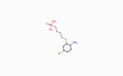 Nc1ccc(Br)cc1SCCCCP(=O)(O)O